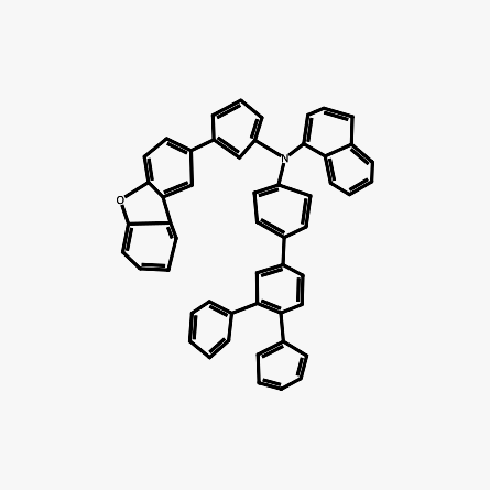 c1ccc(-c2ccc(-c3ccc(N(c4cccc(-c5ccc6oc7ccccc7c6c5)c4)c4cccc5ccccc45)cc3)cc2-c2ccccc2)cc1